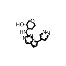 O[C@@H]1COCC[C@H]1Nc1ncc2ccc(-c3ccnnc3)n2n1